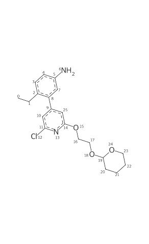 CCc1ccc(N)cc1-c1cc(Cl)nc(OCCOC2CCCCO2)c1